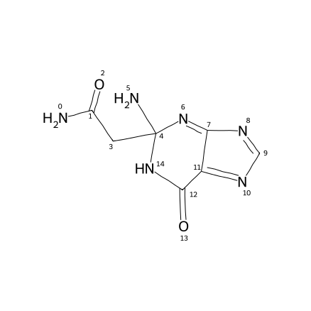 NC(=O)CC1(N)N=C2N=CN=C2C(=O)N1